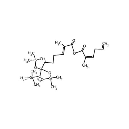 C=CCC=C(C)C(=O)OC(=O)C(C)=CCCC[Si](O[Si](C)(C)C)(O[Si](C)(C)C)O[Si](C)(C)C